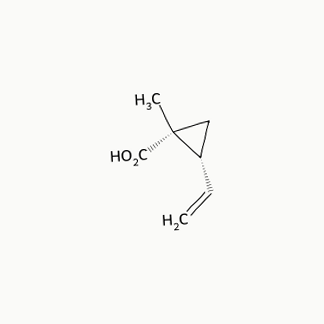 C=C[C@H]1C[C@@]1(C)C(=O)O